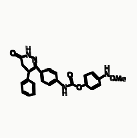 CONc1ccc(OC(=O)Nc2ccc(C3=NNC(=O)CC3c3ccccc3)cc2)cc1